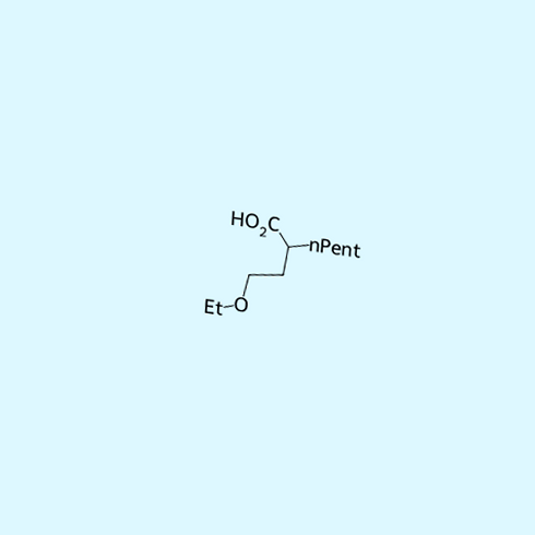 CCCCCC(CCOCC)C(=O)O